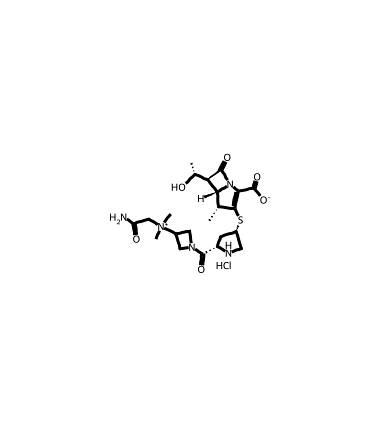 C[C@@H](O)[C@H]1C(=O)N2C(C(=O)[O-])=C(S[C@@H]3CN[C@H](C(=O)N4CC([N+](C)(C)CC(N)=O)C4)C3)[C@H](C)[C@H]12.Cl